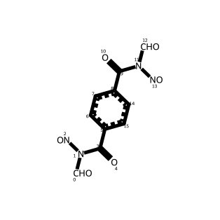 O=CN(N=O)C(=O)c1ccc(C(=O)N(C=O)N=O)cc1